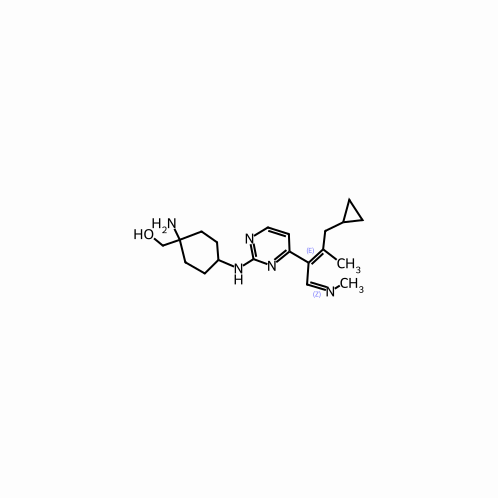 C/N=C\C(=C(/C)CC1CC1)c1ccnc(NC2CCC(N)(CO)CC2)n1